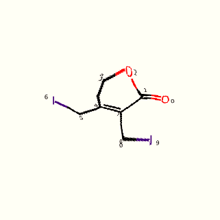 O=C1OCC(CI)=C1CI